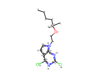 CCCC[Si](C)(C)OCCn1ccc2c(Cl)nc(Cl)nc21